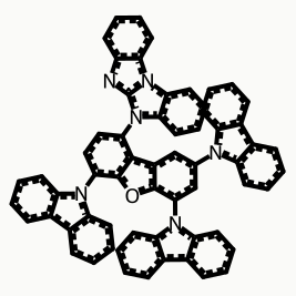 c1ccc2c(c1)nc1n(-c3ccc(-n4c5ccccc5c5ccccc54)c4oc5c(-n6c7ccccc7c7ccccc76)cc(-n6c7ccccc7c7ccccc76)cc5c34)c3ccccc3n21